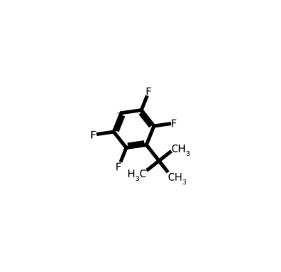 CC(C)(C)c1c(F)c(F)[c]c(F)c1F